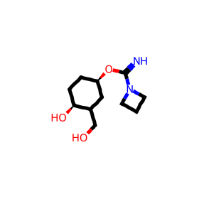 N=C(O[C@@H]1CC[C@H](O)C(CO)C1)N1CCC1